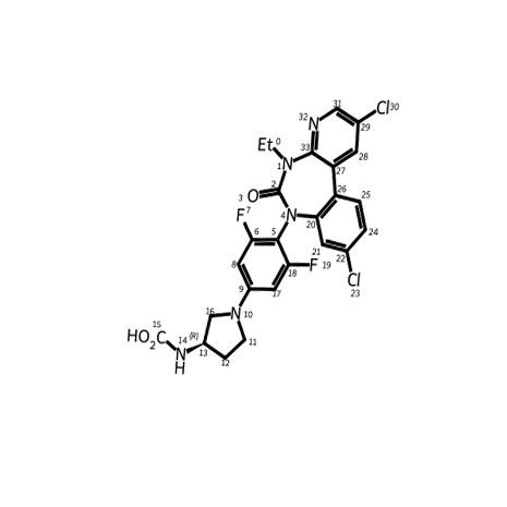 CCN1C(=O)N(c2c(F)cc(N3CC[C@@H](NC(=O)O)C3)cc2F)c2cc(Cl)ccc2-c2cc(Cl)cnc21